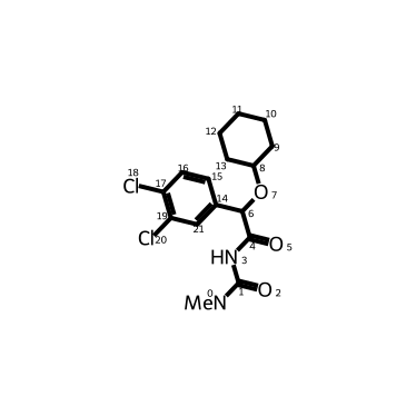 CNC(=O)NC(=O)C(OC1CCCCC1)c1ccc(Cl)c(Cl)c1